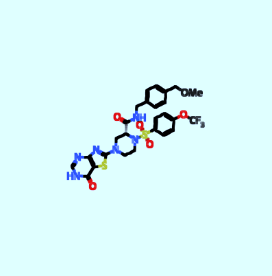 COCc1ccc(CNC(=O)[C@H]2CN(c3nc4nc[nH]c(=O)c4s3)CCN2S(=O)(=O)c2ccc(OC(F)(F)F)cc2)cc1